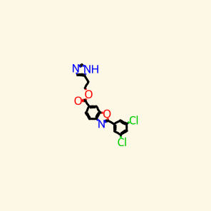 O=C(OCCc1cnc[nH]1)c1ccc2nc(-c3cc(Cl)cc(Cl)c3)oc2c1